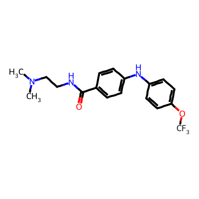 CN(C)CCNC(=O)c1ccc(Nc2ccc(OC(F)(F)F)cc2)cc1